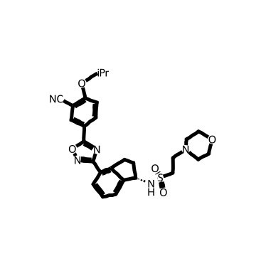 CC(C)Oc1ccc(-c2nc(-c3cccc4c3CC[C@@H]4NS(=O)(=O)CCN3CCOCC3)no2)cc1C#N